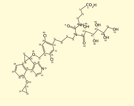 O=C(O)CCCNC(=O)N(CCCCc1cc(Cl)c(COC2(c3cnccc3-c3ccccc3OC3CC3)CC2)cc1Cl)C(=O)[C@H](O)[C@@H](O)[C@H](O)[C@H](O)CO